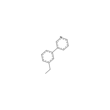 CCc1cccc(-c2cccnc2)c1